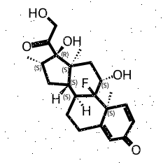 C[C@H]1C[C@H]2[C@@H]3CCC4=CC(=O)C=C[C@]4(C)C3(F)[C@@H](O)C[C@]2(C)[C@@]1(O)C(=O)CO